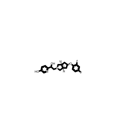 Oc1ccc(C(O)CN2C[C@H]3C[C@@H](Oc4ccc(F)cc4F)C[C@H]3C2)nc1